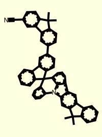 CC1(C)c2ccc(C#N)cc2-c2cc(-c3ccc4c(c3)-c3ccccc3C43c4ccccc4-n4c5cc6c(cc5c5cccc3c54)-c3ccccc3C6(C)C)ccc21